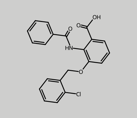 O=C(Nc1c(OCc2ccccc2Cl)cccc1C(=O)O)c1ccccc1